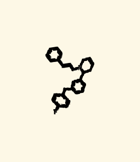 Fc1ccc(Cc2cccc(C3CC=CCN3CC=Cc3ccccc3)c2)cc1